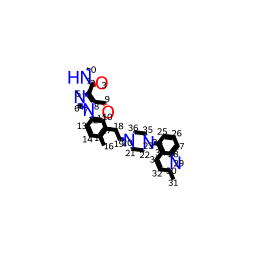 CNC(=O)c1ncn2c1COc1c-2ccc(C)c1CCN1CCN(c2cccc3nc(C)ccc23)CC1